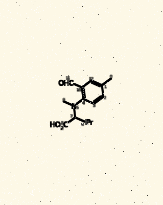 Cc1ccc(N(C)C(C(=O)O)C(C)C)c(C=O)c1